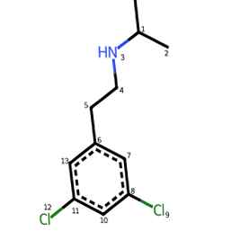 CC(C)NCCc1cc(Cl)cc(Cl)c1